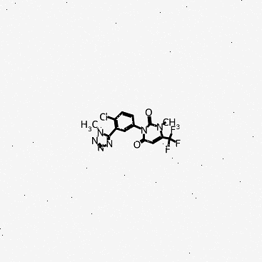 Cn1nnnc1-c1cc(-n2c(=O)cc(C(F)(F)F)n(C)c2=O)ccc1Cl